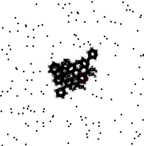 CC1(C)c2cc(-c3ccccc3)ccc2N(c2c(C#N)c(C#N)c3c(c2N2c4ccc(-c5ccccc5)cc4C(C)(C)c4ncccc42)C(C)(C)C2(c4ccccc4-c4ccccc42)C3(C)C)c2cccnc21